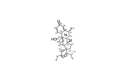 CCC(=O)O[C@]1(C(=O)CC)[C@@H](C)C[C@H]2[C@@H]3C[C@H](F)C4=CC(=O)C=C[C@]4(C)[C@@]3(F)[C@@H](O)C[C@@]21C